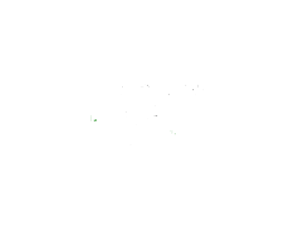 Cc1c(Br)ccc(C(=O)O)c1Br